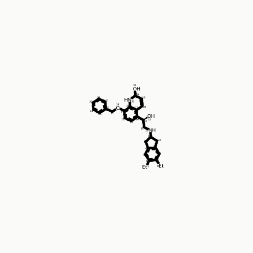 CCc1cc2c(cc1CC)CC(NC[C@H](O)c1ccc(OCc3ccccc3)c3c1C=CC(O)N3)C2